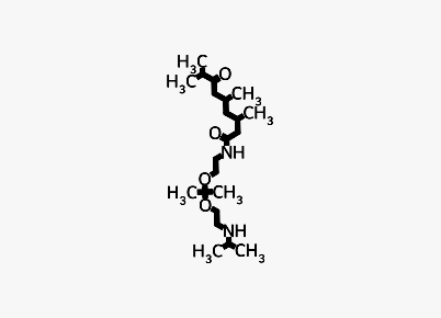 CC(CC(=O)NCCOC(C)(C)OCCNC(C)C)CC(C)CC(=O)C(C)C